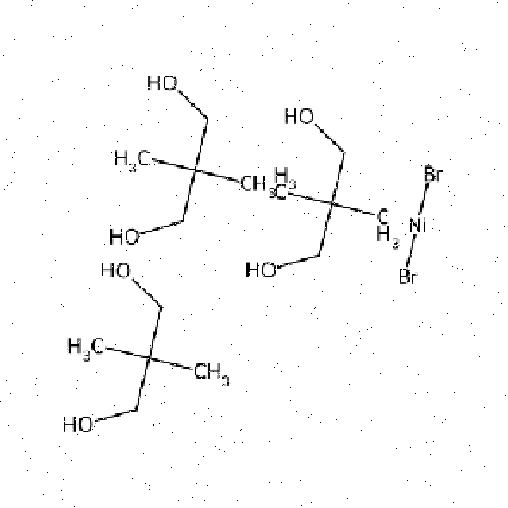 CC(C)(CO)CO.CC(C)(CO)CO.CC(C)(CO)CO.[Br][Ni][Br]